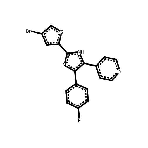 Fc1ccc(-c2nc(-c3cc(Br)cs3)[nH]c2-c2ccncc2)cc1